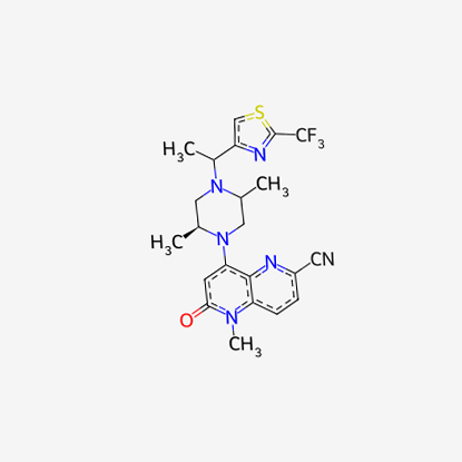 CC1CN(c2cc(=O)n(C)c3ccc(C#N)nc23)[C@@H](C)CN1C(C)c1csc(C(F)(F)F)n1